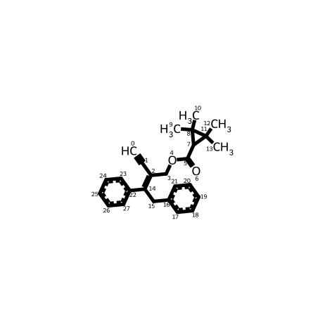 C#CC(COC(=O)C1C(C)(C)C1(C)C)=C(Cc1ccccc1)c1ccccc1